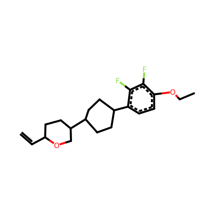 C=CC1CCC(C2CCC(c3ccc(OCC)c(F)c3F)CC2)CO1